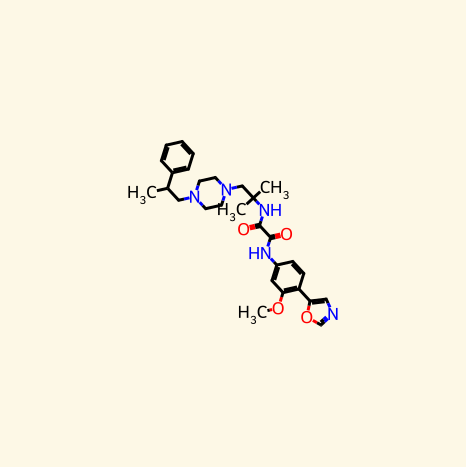 COc1cc(NC(=O)C(=O)NC(C)(C)CN2CCN(CC(C)c3ccccc3)CC2)ccc1-c1cnco1